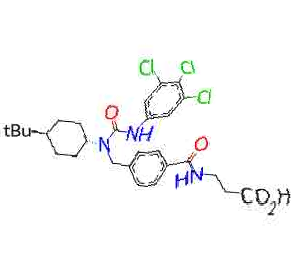 CC(C)(C)[C@H]1CC[C@H](N(Cc2ccc(C(=O)NCCC(=O)O)cc2)C(=O)Nc2cc(Cl)c(Cl)c(Cl)c2)CC1